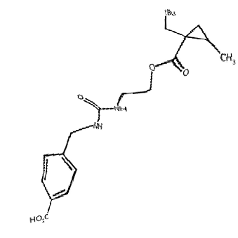 CC1CC1(CC(C)(C)C)C(=O)OCCNC(=O)NCc1ccc(C(=O)O)cc1